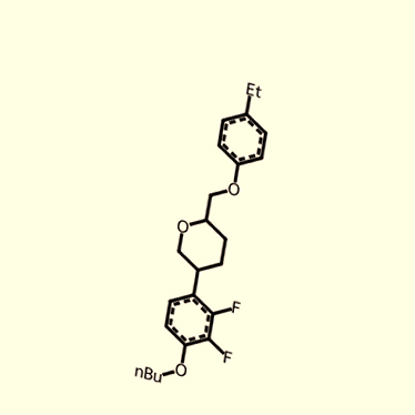 CCCCOc1ccc(C2CCC(COc3ccc(CC)cc3)OC2)c(F)c1F